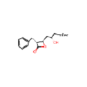 CCCCCCCCCCC[C@H](O)C[C@H]1OC(=O)[C@@H]1Cc1ccccc1